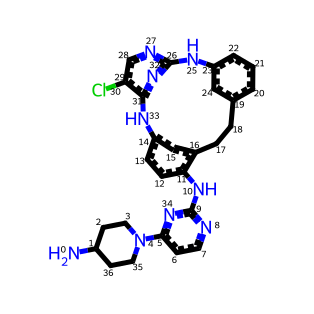 NC1CCN(c2ccnc(Nc3ccc4cc3CCc3cccc(c3)Nc3ncc(Cl)c(n3)N4)n2)CC1